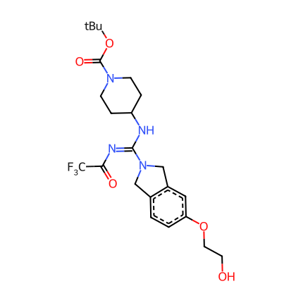 CC(C)(C)OC(=O)N1CCC(N/C(=N/C(=O)C(F)(F)F)N2Cc3ccc(OCCO)cc3C2)CC1